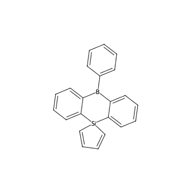 C1=C[Si]2(C=C1)c1ccccc1B(c1ccccc1)c1ccccc12